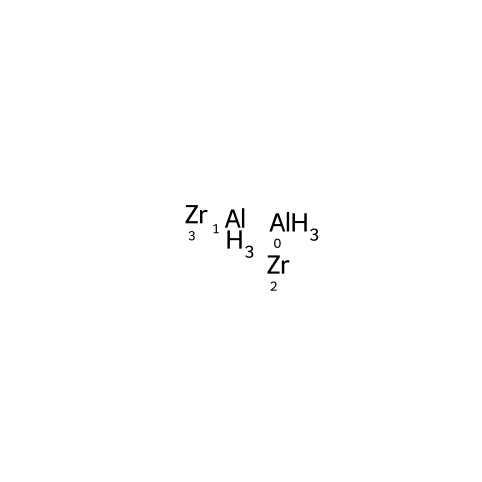 [AlH3].[AlH3].[Zr].[Zr]